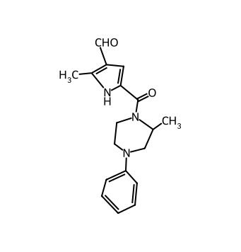 Cc1[nH]c(C(=O)N2CCN(c3ccccc3)CC2C)cc1C=O